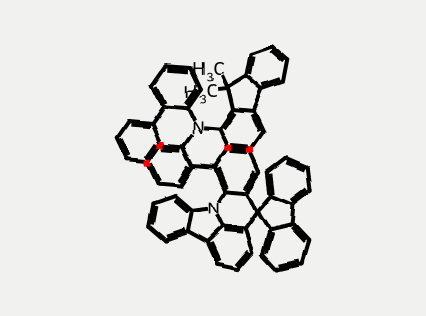 CC1(C)c2ccccc2-c2cccc(N(c3ccccc3-c3ccccc3)c3ccccc3-c3cccc4c3-n3c5ccccc5c5cccc(c53)C43c4ccccc4-c4ccccc43)c21